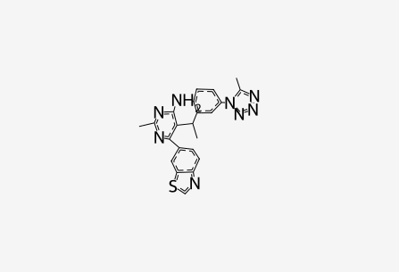 Cc1nc(N)c(C(C)c2cccc(-n3nnnc3C)c2)c(-c2ccc3ncsc3c2)n1